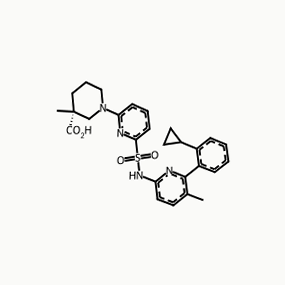 Cc1ccc(NS(=O)(=O)c2cccc(N3CCC[C@@](C)(C(=O)O)C3)n2)nc1-c1ccccc1C1CC1